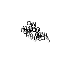 CC(C)(F)CNS(=O)(=O)c1cc2c(c3cnc(Cl)cc13)OCC2O[Si](C)(C)C(C)(C)C